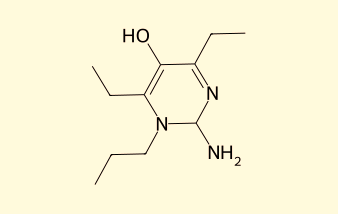 CCCN1C(CC)=C(O)C(CC)=NC1N